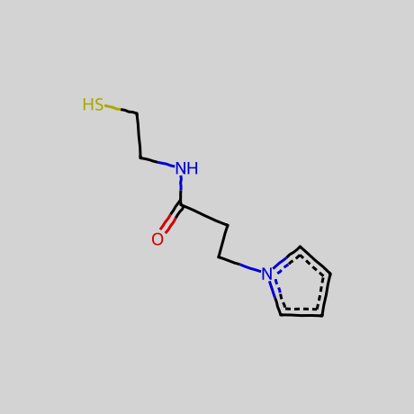 O=C(CCn1cccc1)NCCS